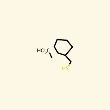 CC(=O)O.SCC1CCCCC1